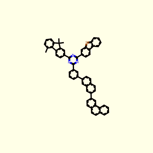 Cc1cccc2c1-c1ccc(-c3nc(-c4cccc(-c5ccc6ccc(-c7ccc8ccc9ccccc9c8c7)cc6c5)c4)nc(-c4ccc5c(c4)sc4ccccc45)n3)cc1C2(C)C